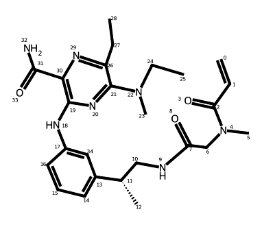 C=CC(=O)N(C)CC(=O)NC[C@H](C)c1cccc(Nc2nc(N(C)CC)c(CC)nc2C(N)=O)c1